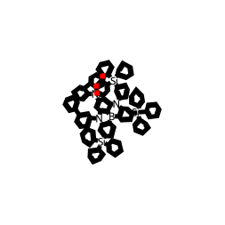 c1ccc(-c2cccc(N3c4cc([Si](c5ccccc5)(c5ccccc5)c5ccccc5)ccc4B4c5ccc([Si](c6ccccc6)(c6ccccc6)c6ccccc6)cc5N(c5cccc([Si](c6ccccc6)(c6ccccc6)c6ccccc6)c5)c5cc(-n6c7ccccc7c7ccccc76)cc3c54)c2)cc1